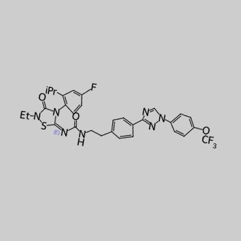 CCn1s/c(=N/C(=O)NCCc2ccc(-c3ncn(-c4ccc(OC(F)(F)F)cc4)n3)cc2)n(-c2ccc(F)cc2C(C)C)c1=O